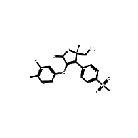 C[C@]1(CC(F)(F)F)OC(=O)C(Oc2ccc(F)c(F)c2)=C1c1ccc(S(C)(=O)=O)cc1